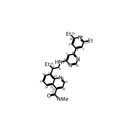 CCc1cc(-c2cc(NCC(CC)c3cccc4c(C(=O)NC)ccnc34)ncn2)cc(CC)n1